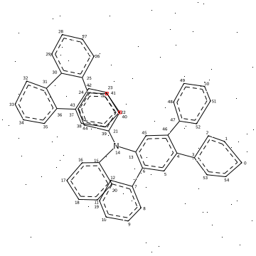 c1ccc(-c2cc(-c3ccccc3)c(N(c3ccccc3)c3ccc(-c4ccccc4-c4ccccc4-c4ccccc4)cc3)cc2-c2ccccc2)cc1